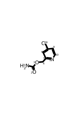 NC(=O)OCc1cc(Cl)ccn1